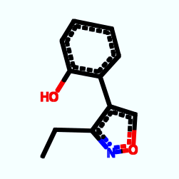 CCc1nocc1-c1ccccc1O